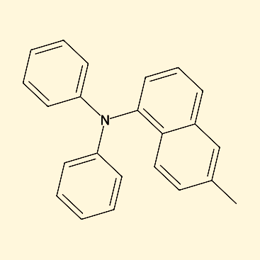 Cc1ccc2c(N(c3ccccc3)c3ccccc3)cccc2c1